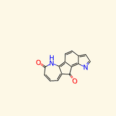 O=C1C=CC=C2C(=O)c3c4c(ccc3=C2N1)=CC=N4